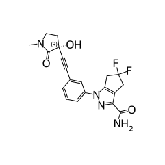 CN1CC[C@@](O)(C#Cc2cccc(-n3nc(C(N)=O)c4c3CC(F)(F)C4)c2)C1=O